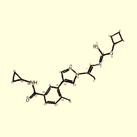 C/C(=C\N=C(/S)OC1CCC1)n1cc(-c2cc(C(=O)NC3CC3)ccc2C)cn1